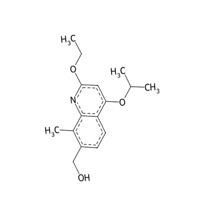 CCOc1cc(OC(C)C)c2ccc(CO)c(C)c2n1